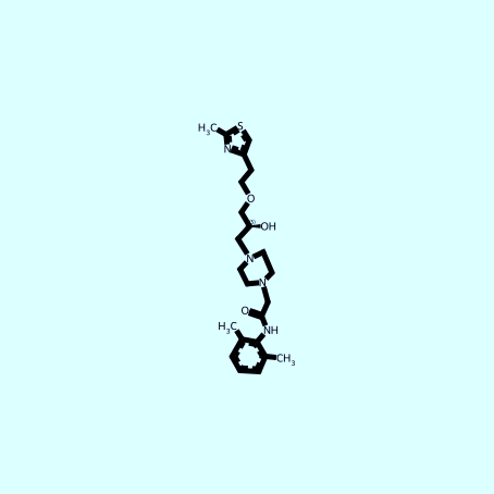 Cc1nc(CCOC[C@@H](O)CN2CCN(CC(=O)Nc3c(C)cccc3C)CC2)cs1